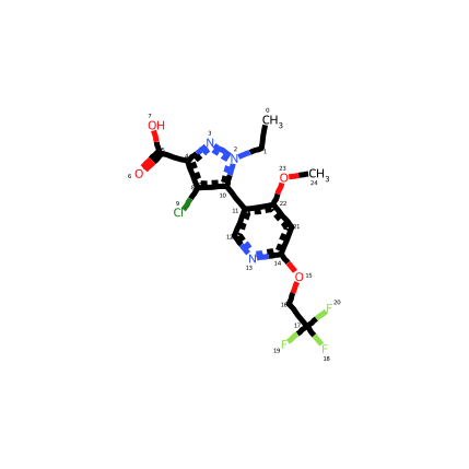 CCn1nc(C(=O)O)c(Cl)c1-c1cnc(OCC(F)(F)F)cc1OC